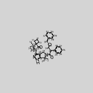 CC1(C)c2[nH]nc(NC(=O)C3([Si](C)(C)C)CCC3)c2CN1C(=O)[C@@H](COCc1ccccc1)c1ccccc1